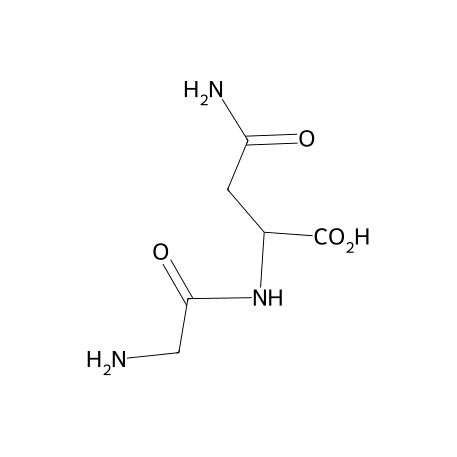 NCC(=O)NC(CC(N)=O)C(=O)O